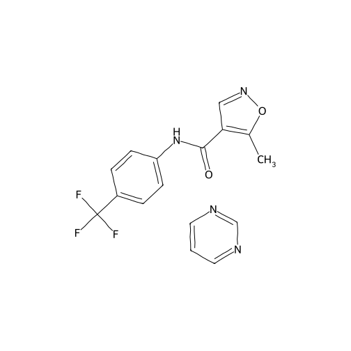 Cc1oncc1C(=O)Nc1ccc(C(F)(F)F)cc1.c1cncnc1